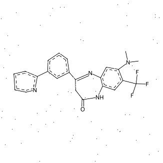 CN(C)c1cc2c(cc1C(F)(F)F)NC(=O)CC(c1cccc(-c3ccccn3)c1)=N2